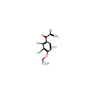 C=C(CC)C(=O)c1ccc(OCC(=O)O)c(Cl)c1Cl.Cl